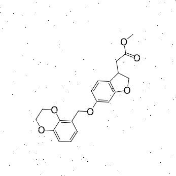 COC(=O)CC1COc2cc(OCc3cccc4c3OCCO4)ccc21